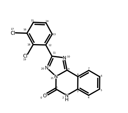 O=c1[nH]c2ccccc2c2nc(-c3cccc(Cl)c3Cl)nn12